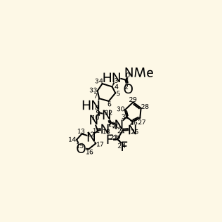 CNC(=O)N[C@H]1CC[C@H](Nc2nc(N3CCOCC3)nc(-n3c(C(F)F)nc4ccccc43)n2)CC1